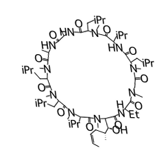 C/C=C\C[C@@H](C)[C@H](O)C1C(=O)NC(CC)C(=O)N(C)CC(=O)N(C)C(CC(C)C)C(=O)NC(C(C)C)C(=O)N(C)C(CC(C)C)C(=O)NC(C)C(=O)NC(C)C(=O)N(C)C(CC(C)C)C(=O)N(C)C(CC(C)C)C(=O)N(C)C(C(C)C)C(=O)N1C